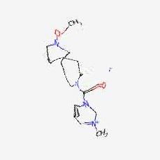 CON1CCC2(CCN(C(=O)N3C=CC=[N+](C)C3)CC2)C1.[I-]